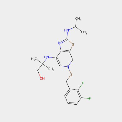 CC(C)Nc1nc2c(s1)CN(SCc1cccc(F)c1F)C=C2NC(C)(C)CO